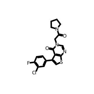 O=C(Cn1cnc2scc(-c3ccc(F)c(Cl)c3)c2c1=O)N1CCCC1